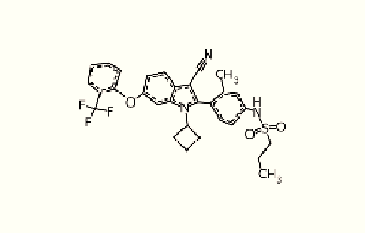 CCCS(=O)(=O)Nc1ccc(-c2c(C#N)c3ccc(Oc4ccccc4C(F)(F)F)cc3n2C2CCC2)c(C)c1